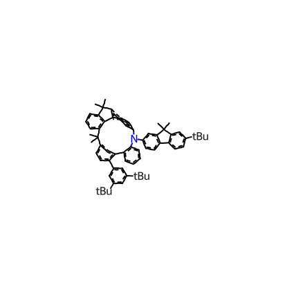 CC(C)(C)c1cc(-c2ccc3cc2-c2ccccc2N(c2ccc4c(c2)C(C)(C)c2cc(C(C)(C)C)ccc2-4)c2ccc4c(c2)C(C)(C)c2cccc(c2-4)C3(C)C)cc(C(C)(C)C)c1